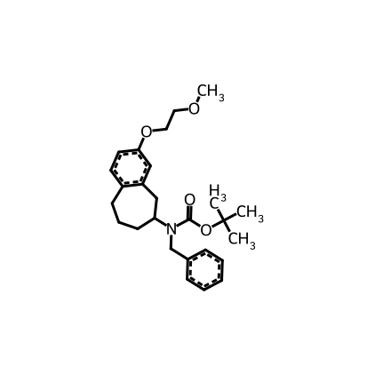 COCCOc1ccc2c(c1)CC(N(Cc1ccccc1)C(=O)OC(C)(C)C)CCC2